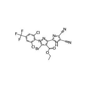 CCOC(=O)c1c(-c2nc(C#N)c(C#N)[nH]2)nn(-c2c(Cl)cc(C(F)(F)F)cc2Cl)c1Br